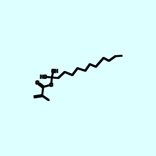 C=C(C)C(=O)OC(O)(O)CCCCCCCCCCC